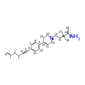 C=CCCC#Cc1ccc(C2=CCN(CCC(C)(C)C(=C)N)CC2)cc1